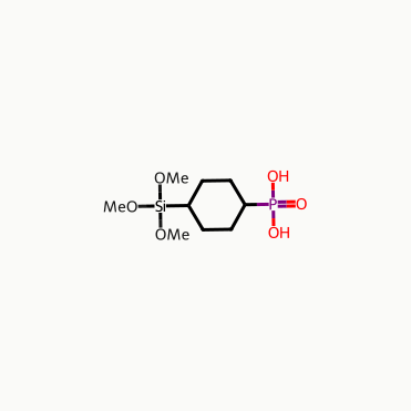 CO[Si](OC)(OC)C1CCC(P(=O)(O)O)CC1